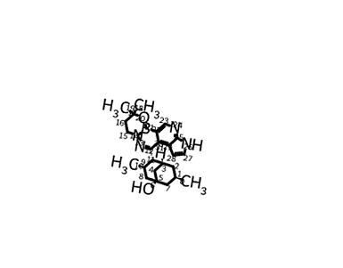 C[C@@H]1C[C@H]2C[C@@](O)(C1)C[C@@H](C)[C@@H]2C1=NN2CCC(C)(C)OB2c2cnc3[nH]ccc3c21